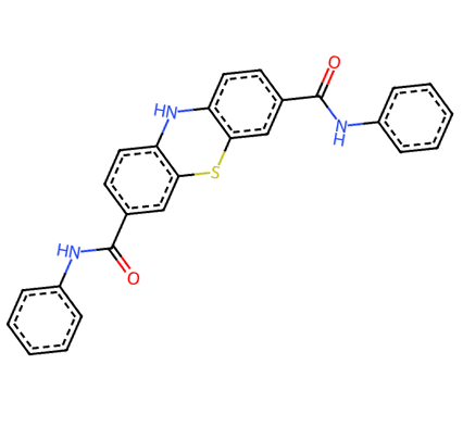 O=C(Nc1ccccc1)c1ccc2c(c1)Sc1cc(C(=O)Nc3ccccc3)ccc1N2